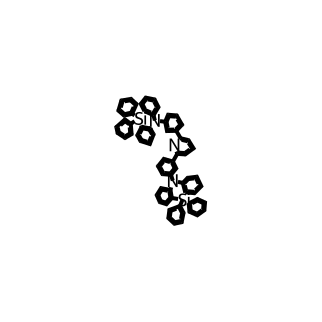 c1ccc([Si]2(c3ccccc3)c3ccccc3N(c3cccc(-c4cccc(-c5cccc(N6c7ccccc7[Si](c7ccccc7)(c7ccccc7)c7ccccc76)c5)n4)c3)c3ccccc32)cc1